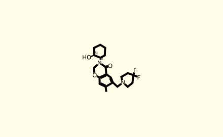 Cc1cc2c(cc1CN1CCC(F)(F)CC1)C(=O)N([C@H]1CCCC[C@@H]1O)CO2